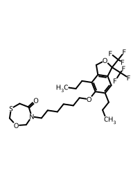 CCCc1cc2c(c(CCC)c1OCCCCCCN1COCSCC1=O)COC2(C(F)(F)F)C(F)(F)F